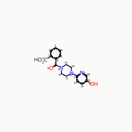 O=C(O)c1ccccc1C(=O)N1CCN(c2ccc(O)cn2)CC1